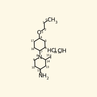 CCCOC1CCC(N2CCC(N)CC2I)CC1.Cl.Cl